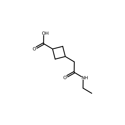 CCNC(=O)CC1CC(C(=O)O)C1